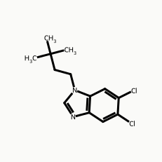 CC(C)(C)CCn1cnc2cc(Cl)c(Cl)cc21